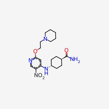 NC(=O)[C@H]1CC[C@H](Nc2cc(OCCN3CCCCC3)ncc2[N+](=O)[O-])CC1